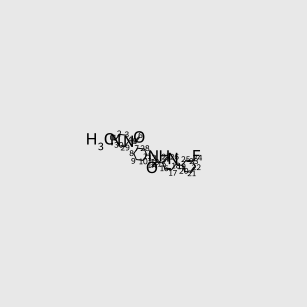 CN1CCN(C(=O)[C@H]2CCC[C@@H](NC(=O)c3ccc(-c4cccc(F)c4)nc3)C2)CC1